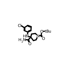 CC(C)(C)OC(=O)N1CCC(Nc2cccc(Cl)c2)(C(N)=O)CC1